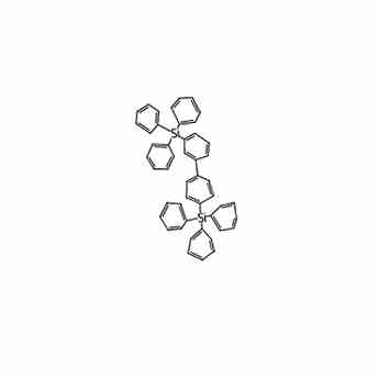 c1ccc([Si](c2ccccc2)(c2ccccc2)c2ccc(-c3cccc([Si](c4ccccc4)(c4ccccc4)c4ccccc4)c3)cc2)cc1